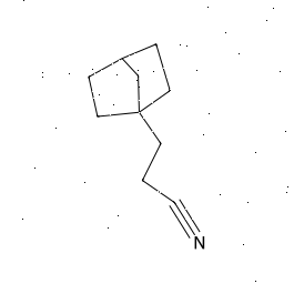 N#CCCC12CCC(CC1)C2